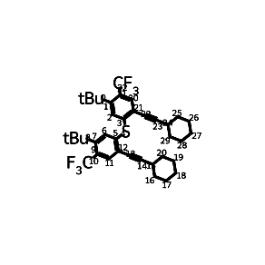 CC(C)(C)c1cc(Sc2cc(C(C)(C)C)c(C(F)(F)F)cc2C#CC2CCCCC2)c(C#CC2CCCCC2)cc1C(F)(F)F